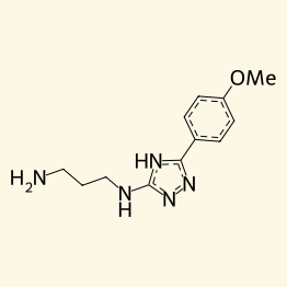 COc1ccc(-c2nnc(NCCCN)[nH]2)cc1